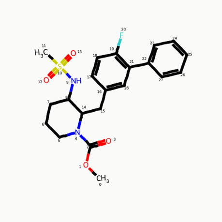 COC(=O)N1CCCC(NS(C)(=O)=O)C1Cc1ccc(F)c(-c2ccccc2)c1